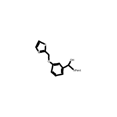 CCCCCC(O)c1cccc(OCc2nccs2)c1